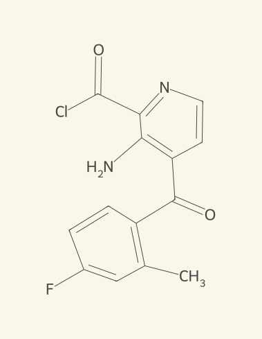 Cc1cc(F)ccc1C(=O)c1ccnc(C(=O)Cl)c1N